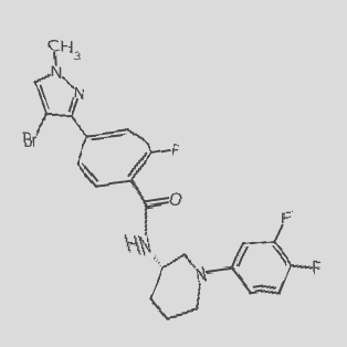 Cn1cc(Br)c(-c2ccc(C(=O)N[C@H]3CCCN(c4ccc(F)c(F)c4)C3)c(F)c2)n1